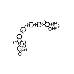 COc1cc(N2CCN(C3CCN(CC4CCN(c5ccc6c(c5)C(=O)N(C5CCC(=O)NC5=O)C6=O)CC4)CC3)CC2)c(C)cc1N